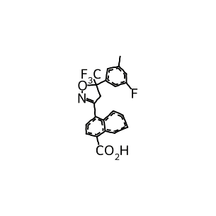 Cc1cc(F)cc(C2(C(F)(F)F)CC(c3ccc(C(=O)O)c4ccccc34)=NO2)c1